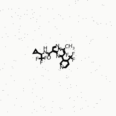 Cc1cc(-c2cnccc2C(F)(F)F)nc2c(C(=O)N[C@H](C3CC3)C(F)(F)F)cnn12